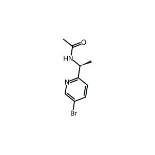 CC(=O)N[C@@H](C)c1ccc(Br)cn1